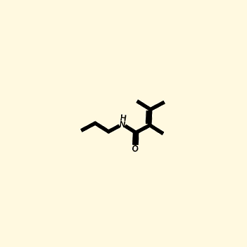 CCCNC(=O)C(C)=C(C)C